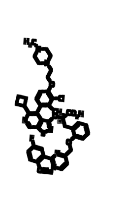 COc1ccc(F)cc1-c1nccc(COc2ccccc2C[C@@H](Oc2nsc3cnc(C4CCC4)c(-c4ccc(OCCN5CCN(C)CC5)c(Cl)c4C)c23)C(=O)O)n1